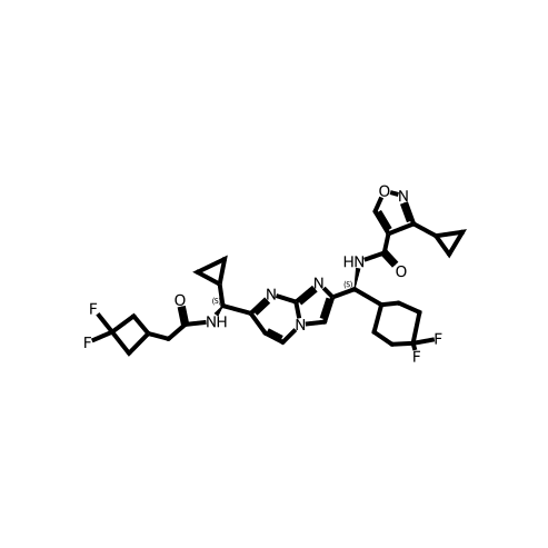 O=C(CC1CC(F)(F)C1)N[C@H](c1ccn2cc([C@@H](NC(=O)c3conc3C3CC3)C3CCC(F)(F)CC3)nc2n1)C1CC1